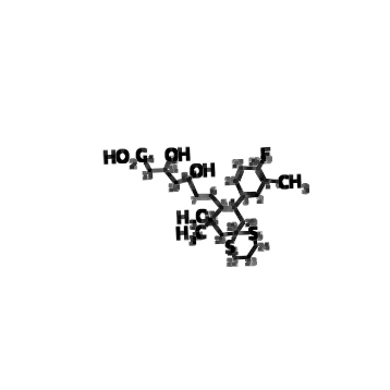 Cc1cc(C2=C(/C=C/C(O)CC(O)CC(=O)O)C(C)(C)CC3(C2)SCCCS3)ccc1F